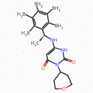 Bc1c(B)c(B)c([C@H](C)Nc2cc(=O)n(C3CCOCC3)c(=O)[nH]2)c(B)c1B